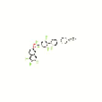 CCC[C@H]1CC[C@H](c2ccc(-c3c(F)cc(C(F)(F)Oc4ccc5c(F)c(F)c(F)cc5c4)cc3F)c(F)c2)CC1